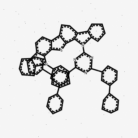 c1ccc(-c2cccc(-c3nc(-c4cccc(-c5ccccc5)c4)nc(-n4c5ccccc5c5ccc6c7ccc8c9ccccc9n(-c9cccc(-c%10ccccc%10)c9)c8c7sc6c54)n3)c2)cc1